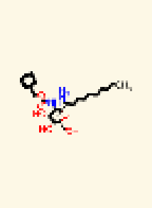 CCCCCCCCCC(N)[C@@H]1O[C@H](CO)[C@H](O)[C@H](O)[C@H]1NC(=O)OCc1ccccc1